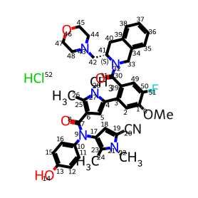 COc1cc(-c2cc(C(=O)N(c3ccc(O)cc3)c3cc(C#N)n(C)c3C)c(C)n2C)c(C(=O)N2Cc3ccccc3C[C@H]2CN2CCOCC2)cc1F.Cl